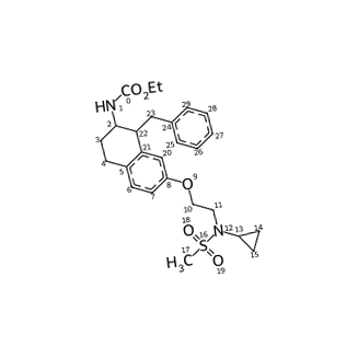 CCOC(=O)NC1CCc2ccc(OCCN(C3CC3)S(C)(=O)=O)cc2C1Cc1ccccc1